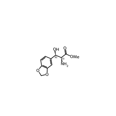 COC(=O)[C@@H](N)[C@H](O)c1ccc2c(c1)OCO2